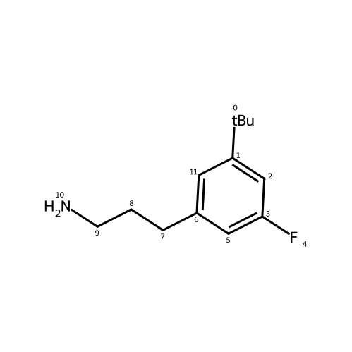 CC(C)(C)c1cc(F)cc(CCCN)c1